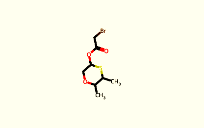 CC1OCC(OC(=O)CBr)SC1C